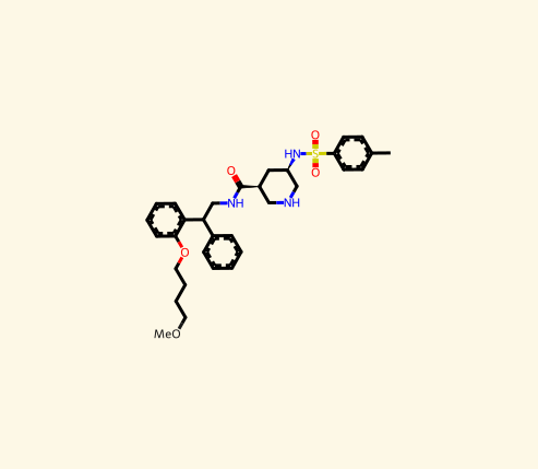 COCCCCOc1ccccc1C(CNC(=O)[C@@H]1CNC[C@H](NS(=O)(=O)c2ccc(C)cc2)C1)c1ccccc1